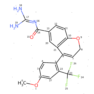 COc1ccc(C2=CCOc3ccc(C(=O)N=C(N)N)cc32)c(C(F)(F)F)c1